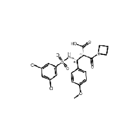 COc1ccc([C@H](NS(=O)(=O)c2cc(Cl)cc(Cl)c2)[C@H](C(=O)O)C(=O)N2CCC2)cc1